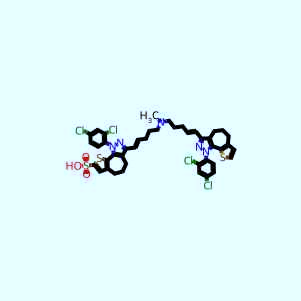 CN(CCC/C=C/c1nn(-c2ccc(Cl)cc2Cl)c2c1CCCc1ccsc1-2)CCC/C=C/c1nn(-c2ccc(Cl)cc2Cl)c2c1CCCc1cc(S(=O)(=O)O)sc1-2